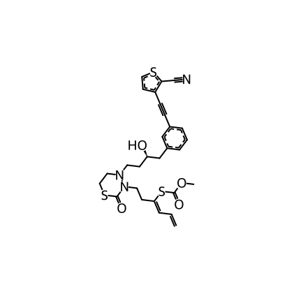 C=C/C=C(/CCN1C(=O)SCCN1CC[C@@H](O)Cc1cccc(C#Cc2ccsc2C#N)c1)SC(=O)OC